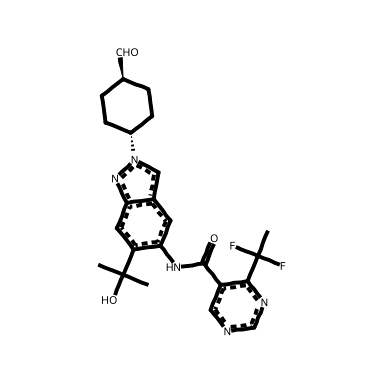 CC(C)(O)c1cc2nn([C@H]3CC[C@H](C=O)CC3)cc2cc1NC(=O)c1cncnc1C(C)(F)F